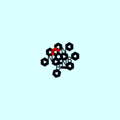 c1ccc(B2c3cccc4c3-n3c5c2cc(N(c2ccccc2)c2ccccc2)c2c6ccccc6c6c(N(c7ccccc7)c7ccccc7)cc(c3c6c25)B4c2ccccc2)cc1